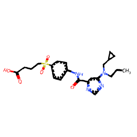 CCCN(CC1CC1)c1cc(C(=O)Nc2ccc(S(=O)(=O)CCCC(=O)O)cc2)ncn1